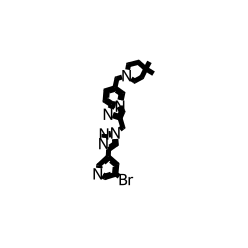 CC1(C)CCN(Cc2ccc3nc(Cn4cc(-c5cncc(Br)c5)nn4)cn3c2)CC1